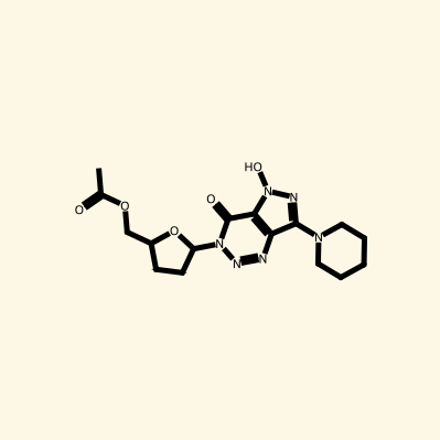 CC(=O)OCC1[CH][CH]C(n2nnc3c(N4CCCCC4)nn(O)c3c2=O)O1